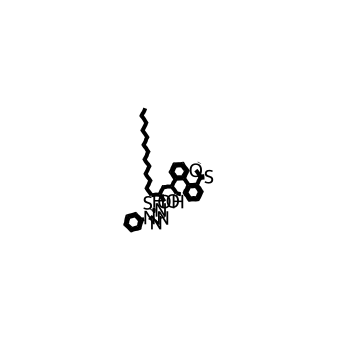 CCCCCCCCCCCCC(Sc1nnnn1-c1ccccc1)C(O)CC(c1ccccc1-c1ccccc1C(=S)OC)C(C)O